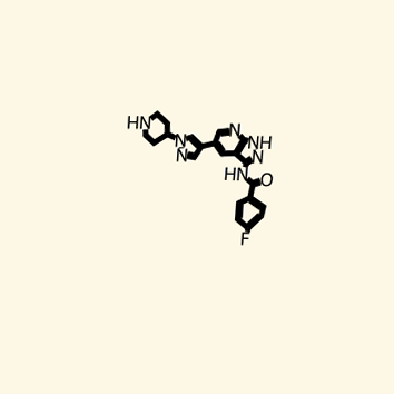 O=C(Nc1n[nH]c2ncc(-c3cnn(C4CCNCC4)c3)cc12)c1ccc(F)cc1